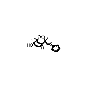 C[C@]1(CSc2ccccc2)OO[C@@H]2C[C@H]1CC[C@@]2(C)O